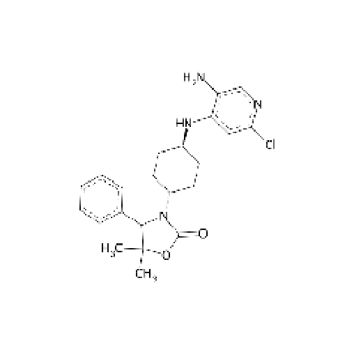 CC1(C)OC(=O)N([C@H]2CC[C@H](Nc3cc(Cl)ncc3N)CC2)C1c1ccccc1